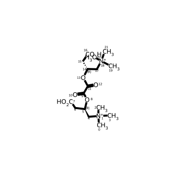 C[N+](C)(C)C[C@@H](CC(=O)O)OC(=O)C(=O)O[C@H](CC(=O)O)C[N+](C)(C)C